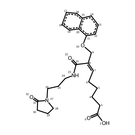 O=C(O)CCCCC=C(COc1cccc2ccccc12)C(=O)NCCCN1CCCC1=O